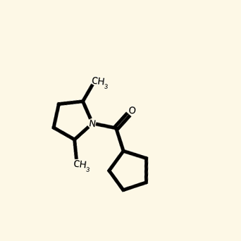 CC1CCC(C)N1C(=O)C1CCCC1